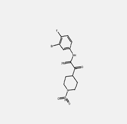 N=C(Nc1ccc(F)c(Br)c1)C(=O)C1CCN([SH](=O)=O)CC1